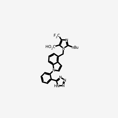 CCCCc1nc(C(F)(F)F)c(C(=O)O)n1Cc1cccc2c1ccn2-c1ccccc1-c1nnn[nH]1